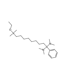 CCO[Si](C)(C)CCCCCCCC[Si](c1ccccc1)(N(C)C)N(C)C